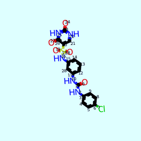 O=C(Nc1ccc(Cl)cc1)Nc1cccc(NS(=O)(=O)c2c[nH]c(=O)[nH]c2=O)c1